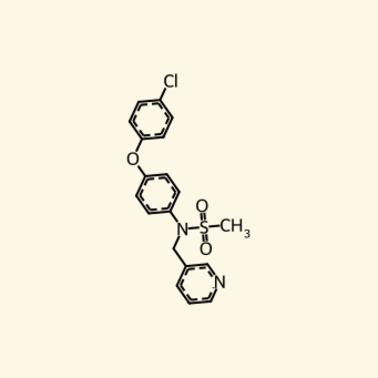 CS(=O)(=O)N(Cc1cccnc1)c1ccc(Oc2ccc(Cl)cc2)cc1